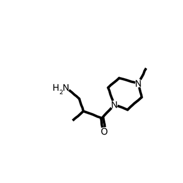 CC(CN)C(=O)N1CCN(C)CC1